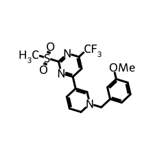 COc1cccc(CN2C=C(c3cc(C(F)(F)F)nc(S(C)(=O)=O)n3)C=CC2)c1